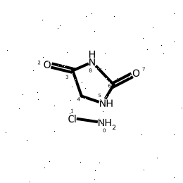 NCl.O=C1CNC(=O)N1